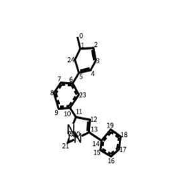 CC1C=CC=C(c2cccc(C3C=C(c4ccccc4)N4C[N@@]34)c2)C1